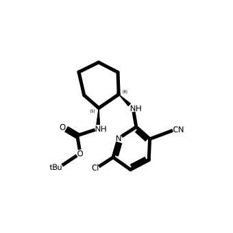 CC(C)(C)OC(=O)N[C@H]1CCCC[C@H]1Nc1nc(Cl)ccc1C#N